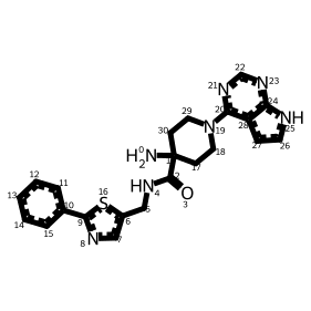 NC1(C(=O)NCc2cnc(-c3ccccc3)s2)CCN(c2ncnc3[nH]ccc23)CC1